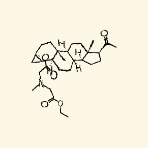 CCOC(=O)CN(C)CC(=O)O[C@]12CC[C@@]3(C)[C@@H](CC[C@@H]4[C@@H]3CC[C@]3(C)[C@@H](C(C)=O)CC[C@@H]43)C1C2